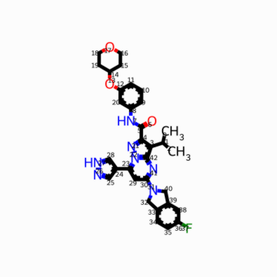 CC(C)c1c(C(=O)Nc2cccc(OC3CCOCC3)c2)nn2c(-c3cn[nH]c3)cc(N3Cc4ccc(F)cc4C3)nc12